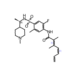 C=C/C=C\C(C)=C(/C)C(=O)Nc1cc(C)c(S(=O)(=O)N[C@H](C)C2CCN(C)CC2)cc1F